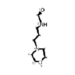 O=CNCCCN1CCOCC1